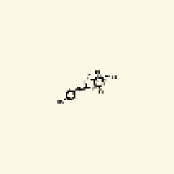 O=C(/C=C/c1ccc(O)cc1)O[C@H]1C(O)O[C@H](CO)[C@@H](O)[C@@H]1O